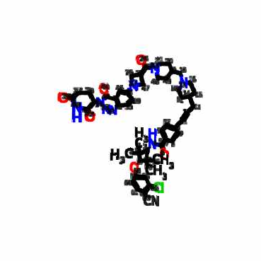 CC1(C)[C@H](NC(=O)c2ccc(C#CCC3CCN(CC4CCN(C(=O)C5CN(c6ccc7nnn(C8CCC(=O)NC8=O)c(=O)c7c6)C5)CC4)CC3)cc2)C(C)(C)[C@H]1Oc1ccc(C#N)c(Cl)c1